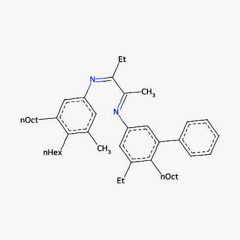 CCCCCCCCc1cc(N=C(CC)C(C)=Nc2cc(CC)c(CCCCCCCC)c(-c3ccccc3)c2)cc(C)c1CCCCCC